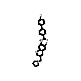 O=C(Nc1cc2ncc(CN3CCCC3)cc2cc1F)c1ccc(-c2ccc(Cl)cc2)cc1